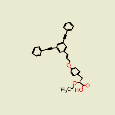 CCO[C@@H](Cc1ccc(OC/C=C/c2cc(C#Cc3ccccc3)cc(C#Cc3ccccc3)c2)cc1)C(=O)O